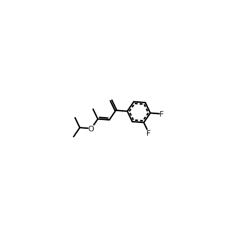 C=C(/C=C(\C)OC(C)C)c1ccc(F)c(F)c1